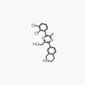 Cc1nc(-c2ccc3c(c2)CNCC3)c(CO)nc1-c1cccc(Cl)c1Cl